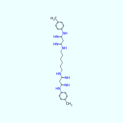 Cc1ccc(NC(=N)CC(=N)NCCCCCCNC(=N)CC(=N)Nc2ccc(C)cc2)cc1